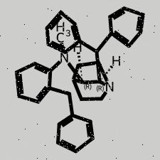 CN(c1ccccc1Cc1ccccc1)[C@@H]1C2CCN(CC2)[C@@H]1C(c1ccccc1)c1ccccc1